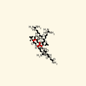 CN[C@@H](C)C(=O)CN[C@@H](CCCNC(N)N)C(=O)N[C@@H](CC(C)C)C(=O)C(=O)[C@H](CCCNC(N)N)NC(=O)[C@H](CCCNC(N)N)NN[C@@H](CC(C)C)C(=O)C(=O)CNC(=O)CNNCC(=O)NCC(=O)NCC(N)=O